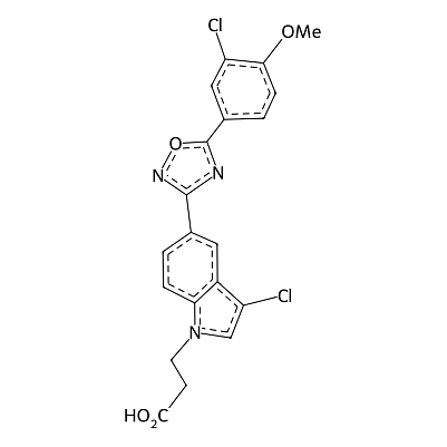 COc1ccc(-c2nc(-c3ccc4c(c3)c(Cl)cn4CCC(=O)O)no2)cc1Cl